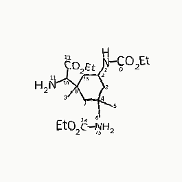 CCOC(=O)NC1CC(C)(C)CC(C)(C(N)C(=O)OCC)C1.CCOC(N)=O